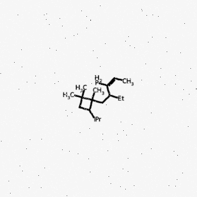 C/C=C(/P)C(CC)CC1(C)C(C(C)C)CC1(C)C